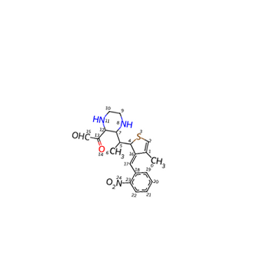 CC1=CSC(C(C)C2NCCNC2C(=O)C=O)C1=Cc1ccccc1[N+](=O)[O-]